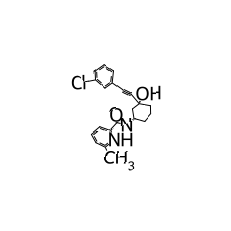 Cc1cccc(C(=O)N[C@H]2CCC[C@@](O)(C#Cc3cccc(Cl)c3)C2)n1